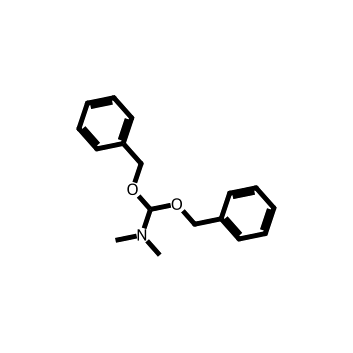 CN(C)C(OCc1ccccc1)OCc1ccccc1